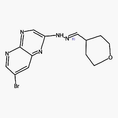 Brc1cnc2ncc(N/N=C/C3CCOCC3)nc2c1